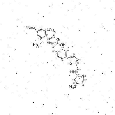 CCc1cc(C#N)cc(C)c1C(=O)NC(Cc1ccc(-c2ccc(CNc3cc(C)ccn3)s2)cc1)C(=O)O